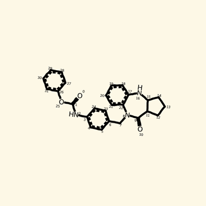 O=C(Nc1ccc(CN2C(=O)C3CCCC3Nc3ccccc32)cc1)Oc1ccccc1